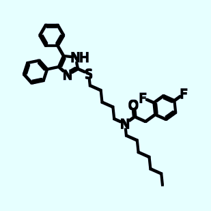 CCCCCCCN(CCCCCSc1nc(-c2ccccc2)c(-c2ccccc2)[nH]1)C(=O)Cc1ccc(F)cc1F